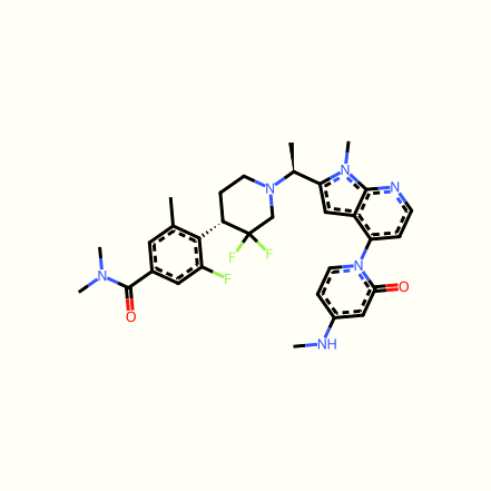 CNc1ccn(-c2ccnc3c2cc([C@H](C)N2CC[C@@H](c4c(C)cc(C(=O)N(C)C)cc4F)C(F)(F)C2)n3C)c(=O)c1